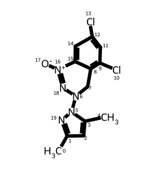 Cc1cc(C)n(N2Cc3c(Cl)cc(Cl)cc3[N+]([O-])=N2)n1